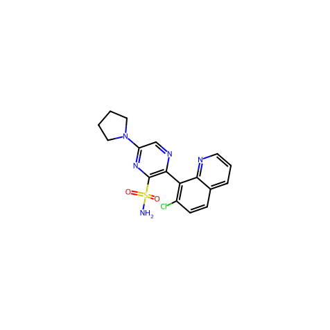 NS(=O)(=O)c1nc(N2CCCC2)cnc1-c1c(Cl)ccc2cccnc12